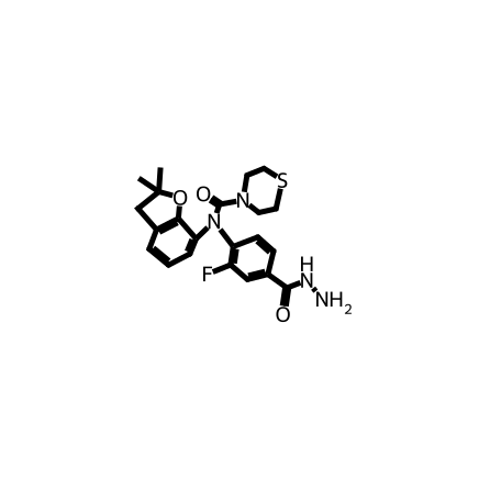 CC1(C)Cc2cccc(N(C(=O)N3CCSCC3)c3ccc(C(=O)NN)cc3F)c2O1